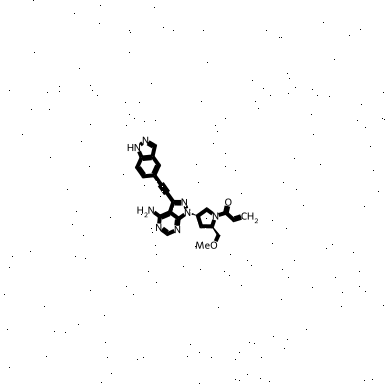 C=CC(=O)N1C[C@@H](n2nc(C#Cc3ccc4[nH]ncc4c3)c3c(N)ncnc32)C[C@@H]1COC